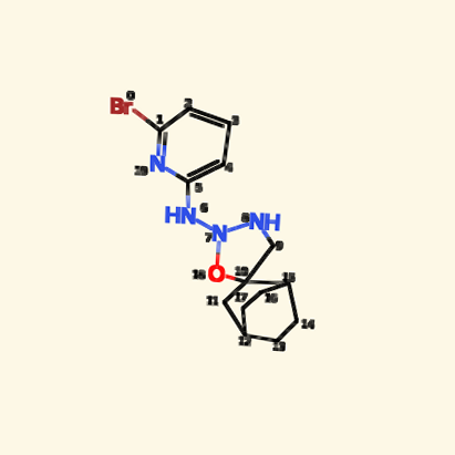 Brc1cccc(NN2NCC3(CC4CCC3CC4)O2)n1